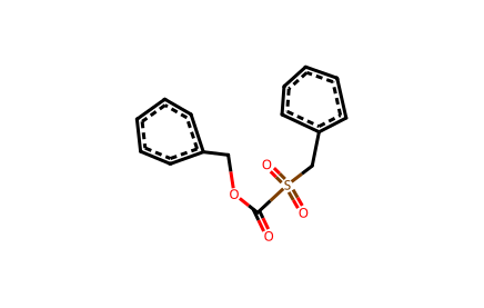 O=C(OCc1ccccc1)S(=O)(=O)Cc1ccccc1